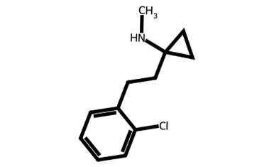 CNC1(CCc2ccccc2Cl)CC1